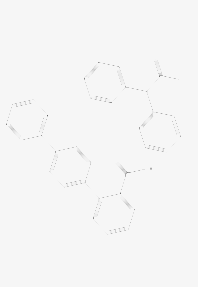 O=C(O)C(c1ccccc1)c1ccccc1.O=C(O)c1ccccc1-c1ccc(-c2ccccc2)cc1